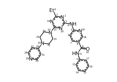 CCc1nc(Nc2ccc(C(=O)Nc3ccccc3)cn2)nc(N2CCN(c3ccncc3)CC2)n1